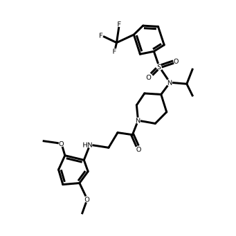 COc1ccc(OC)c(NCCC(=O)N2CCC(N(C(C)C)S(=O)(=O)c3cccc(C(F)(F)F)c3)CC2)c1